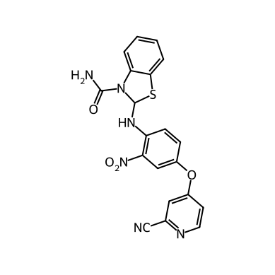 N#Cc1cc(Oc2ccc(NC3Sc4ccccc4N3C(N)=O)c([N+](=O)[O-])c2)ccn1